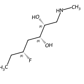 CC[C@@H](F)C[C@@H](O)[C@H](O)CNC